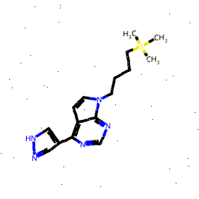 CS(C)(C)CCCCn1ccc2c(-c3cn[nH]c3)ncnc21